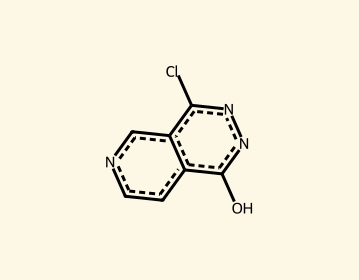 Oc1nnc(Cl)c2cnccc12